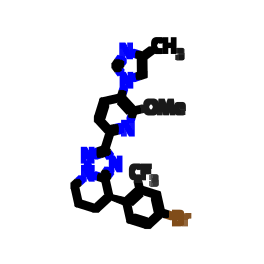 COc1nc(-c2nc3n(n2)CCC[C@@H]3c2ccc(Br)cc2C(F)(F)F)ccc1-n1cnc(C)c1